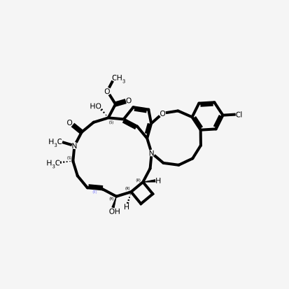 COC(=O)[C@]1(O)CC(=O)N(C)[C@@H](C)C/C=C/[C@H](O)[C@@H]2CC[C@H]2CN2CCCCc3cc(Cl)ccc3COc3ccc1cc32